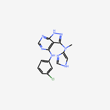 CN(c1c[nH]cn1)c1n[nH]c2ncnc(Nc3cccc(Cl)c3)c12